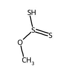 COS(=S)S